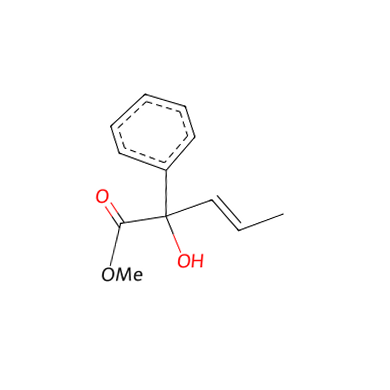 CC=CC(O)(C(=O)OC)c1ccccc1